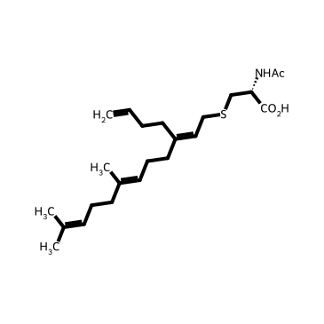 C=CCC/C(=C\CSC[C@H](NC(C)=O)C(=O)O)CC/C=C(\C)CCC=C(C)C